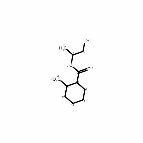 CC(C)CC(C)OC(=O)C1CCCCC1C(=O)O